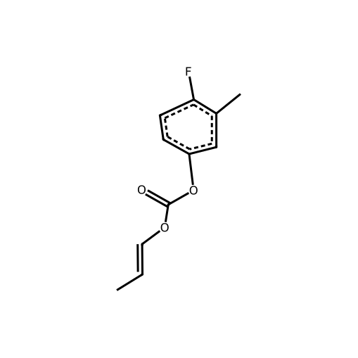 C/C=C/OC(=O)Oc1ccc(F)c(C)c1